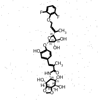 CC(=Cc1ccc(O[C@@H]2O[C@H](C(C)=CCOc3c(F)cccc3F)[C@@H](O)[C@@H]2O)c(O)c1)C(=O)N[C@@H]1[C@H](O)[C@@H](O)[C@H]2OCO[C@H]2[C@@H]1O